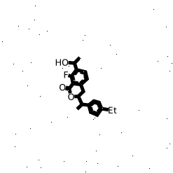 CCc1ccc(C(C)C2Cc3ccc(C(C)O)c(F)c3C(=O)O2)cc1